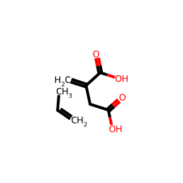 C=C(CC(=O)O)C(=O)O.C=CC